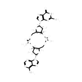 BP1(=O)OC[C@H]2O[C@@H](n3cnc4c(=O)[nH]c(N)nc43)[C@H](F)[C@@H]2OP(=O)(O)OC[C@H]2O[C@@H](n3cnc4c(N)ncnc43)[C@H](F)[C@@H]2O1